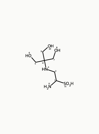 NC(CNC(CO)(CO)CO)S(=O)(=O)O